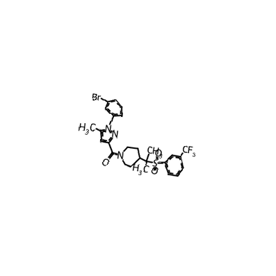 Cc1cc(C(=O)N2CCC(C(C)(C)S(=O)(=O)c3cccc(C(F)(F)F)c3)CC2)nn1-c1cccc(Br)c1